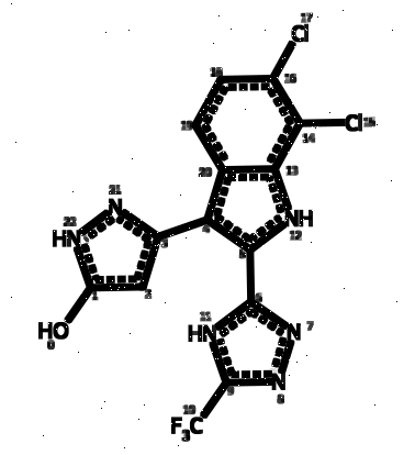 Oc1cc(-c2c(-c3nnc(C(F)(F)F)[nH]3)[nH]c3c(Cl)c(Cl)ccc23)n[nH]1